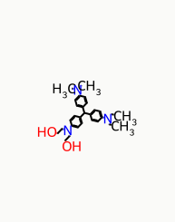 CCN(CC)c1ccc(C(c2ccc(N(C)C)cc2)c2ccc(N(CCO)CCO)cc2)cc1